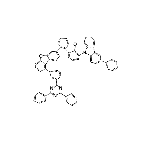 c1ccc(-c2ccc3c(c2)c2ccccc2n3-c2cccc3c2oc2cccc(-c4ccc5c(c4)oc4cccc(-c6cccc(-c7nc(-c8ccccc8)nc(-c8ccccc8)n7)c6)c45)c23)cc1